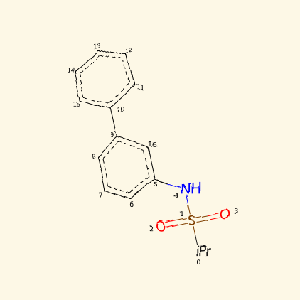 CC(C)S(=O)(=O)Nc1cccc(-c2ccccc2)c1